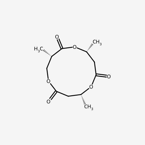 C[C@@H]1CC(=O)OC[C@H](C)C(=O)O[C@H](C)CC(=O)O1